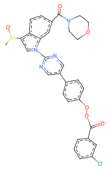 C[S+]([O-])c1cn(-c2ncc(-c3ccc(OOC(=O)c4cccc(Cl)c4)cc3)cn2)c2cc(C(=O)N3CCOCC3)ccc12